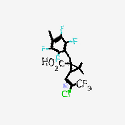 Cc1c(F)c(F)c(C[C@@]2(C(=O)O)C(/C=C(/Cl)C(F)(F)F)C2(C)C)c(F)c1F